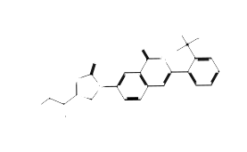 O=C1O[C@H]([C@H](O)CO)CN1c1ccc2cc(-c3ccccc3C(F)(F)F)[nH]c(=O)c2c1